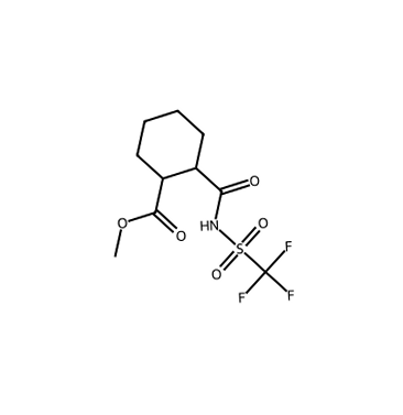 COC(=O)C1CCCCC1C(=O)NS(=O)(=O)C(F)(F)F